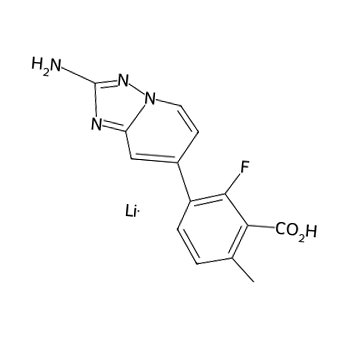 Cc1ccc(-c2ccn3nc(N)nc3c2)c(F)c1C(=O)O.[Li]